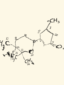 CC1CC(=O)C=C(B2CCC(C)(C)C(C)(C)O2)C1